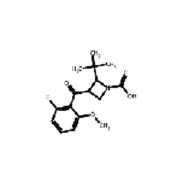 COc1cccc(F)c1C(=O)C1CN(C(=O)O)C1C(C)(C)C